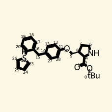 CC(C)(C)OC(=O)C1NCC[C@@H]1COc1ccc(Cc2ccccc2[SH]2C=CC=C2)cc1